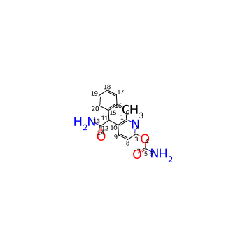 Cc1nc(OC(N)=O)ccc1C(C(N)=O)c1ccccc1